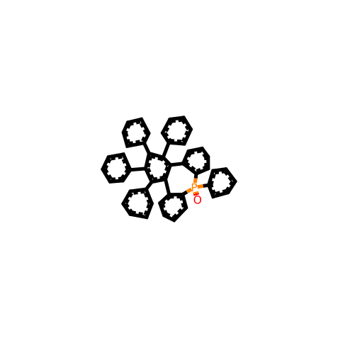 O=P1(c2ccccc2)c2ccccc2-c2c(-c3ccccc3)c(-c3ccccc3)c(-c3ccccc3)c(-c3ccccc3)c2-c2ccccc21